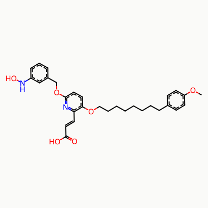 COc1ccc(CCCCCCCCOc2ccc(OCc3cccc(NO)c3)nc2C=CC(=O)O)cc1